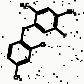 Cc1cc(N)c(F)cc1Sc1ccc(C(F)(F)F)cc1Cl